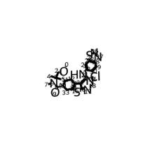 COCC(C)(C)N(C)C(=O)[C@H]1CCc2c(sc3ncnc(Nc4cc5snnc5cc4Cl)c23)C1